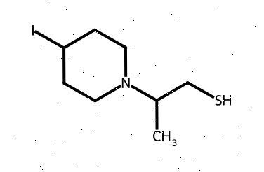 CC(CS)N1CCC(I)CC1